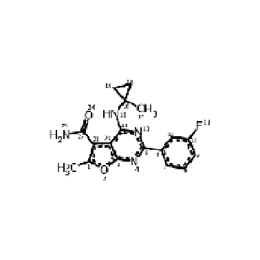 Cc1oc2nc(-c3cccc(F)c3)nc(NC3(C)CC3)c2c1C(N)=O